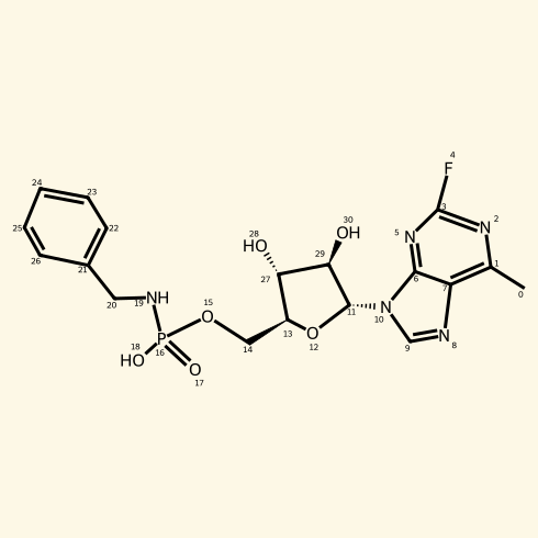 Cc1nc(F)nc2c1ncn2[C@@H]1O[C@@H](COP(=O)(O)NCc2ccccc2)[C@H](O)[C@H]1O